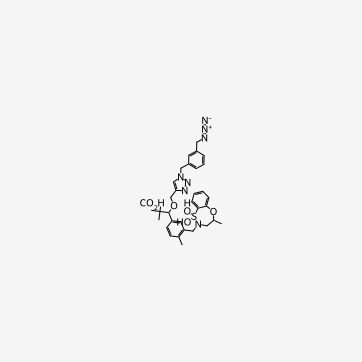 Cc1ccc(C(OCc2cn(Cc3cccc(CN=[N+]=[N-])c3)nn2)C(C)(C)C(=O)O)cc1CN1CC(C)Oc2ccccc2S1(O)O